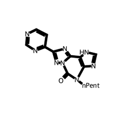 CCCCCn1c(=O)n2nc(-c3ccncn3)nc2c2[nH]cnc21